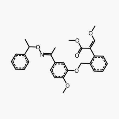 COC=C(C(=O)OC)c1ccccc1COc1cc(C(C)=NOC(C)c2ccccc2)ccc1OC